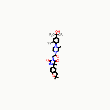 CCCc1cc(C(O)(C(F)(F)F)C(F)(F)F)ccc1N1CCN(C(=O)CN2C(=O)NC(C)(c3ccc4c(c3)CC(C)(C)O4)C2=O)CC1C